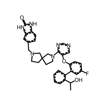 CC(O)c1ccccc1-c1cc(F)ccc1Oc1cncnc1N1CCC2(CCN(Cc3ccc4[nH]c(=O)[nH]c4c3)C2)C1